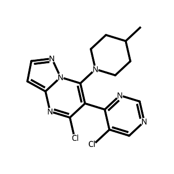 CC1CCN(c2c(-c3ncncc3Cl)c(Cl)nc3ccnn23)CC1